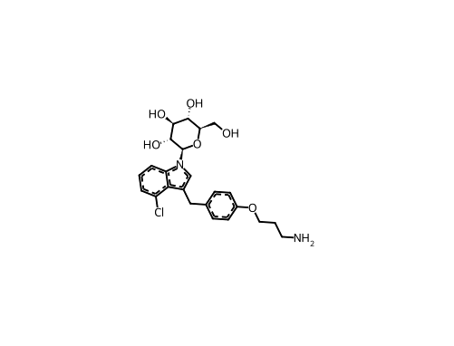 NCCCOc1ccc(Cc2cn([C@@H]3O[C@H](CO)[C@@H](O)[C@H](O)[C@H]3O)c3cccc(Cl)c23)cc1